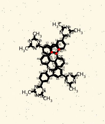 Cc1nc(C)nc(-c2ccc3c(c2)c2cc(-c4nc(C)nc(C)n4)ccc2n3-c2cccc(C#N)c2-c2c(-c3c(C(F)(F)F)cccc3C(F)(F)F)cccc2-n2c3ccc(-c4nc(C)nc(C)n4)cc3c3cc(-c4nc(C)nc(C)n4)ccc32)n1